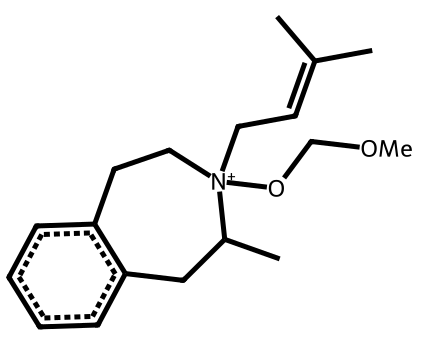 COCO[N+]1(CC=C(C)C)CCc2ccccc2CC1C